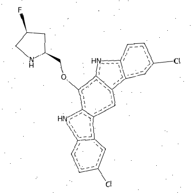 F[C@@H]1CN[C@H](COc2c3[nH]c4ccc(Cl)cc4c3cc3c2[nH]c2ccc(Cl)cc23)C1